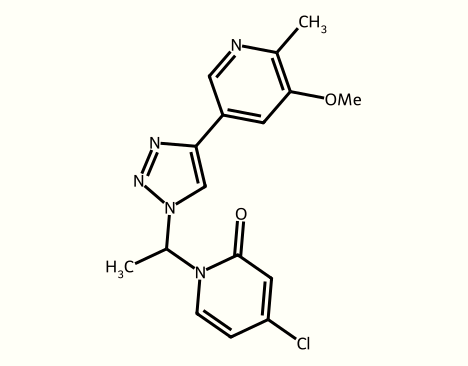 COc1cc(-c2cn(C(C)n3ccc(Cl)cc3=O)nn2)cnc1C